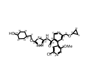 COc1cnc(Cl)cc1-c1cc(COC2CC2)ncc1C(=O)Nc1nnc(OCC2CCC(O)CC2)s1